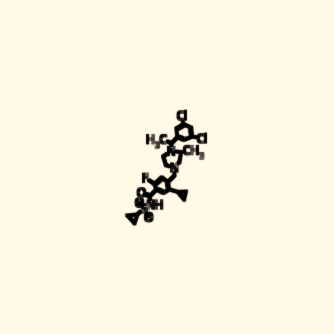 CC(c1cc(Cl)cc(Cl)c1)N1CCN(Cc2cc(F)c(C(=O)NS(=O)(=O)C3CC3)cc2C2CC2)C[C@@H]1C